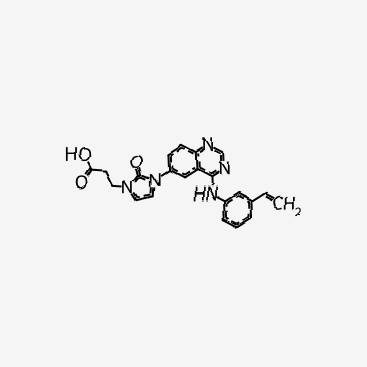 C=Cc1cccc(Nc2ncnc3ccc(-n4ccn(CCC(=O)O)c4=O)cc23)c1